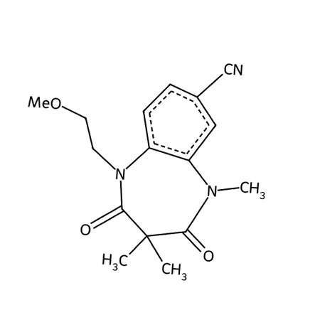 COCCN1C(=O)C(C)(C)C(=O)N(C)c2cc(C#N)ccc21